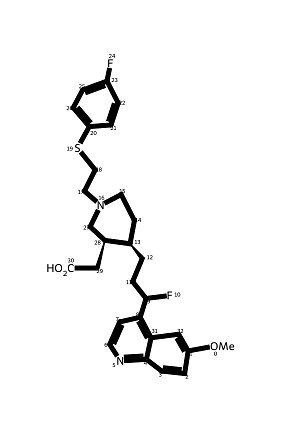 COc1ccc2nccc(C(F)CC[C@@H]3CCN(CCSc4ccc(F)cc4)C[C@@H]3CC(=O)O)c2c1